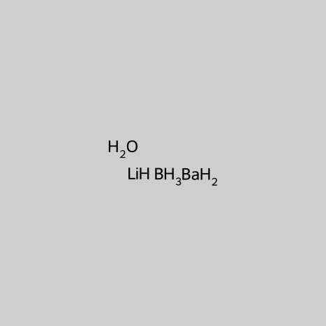 B.O.[BaH2].[LiH]